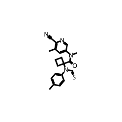 Cc1ccc(N(C=S)C2(C(=O)N(C)c3cnc(C#N)c(C)c3)CCC2)cc1